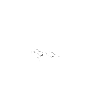 CCSc1cnc(CNc2nc3cnc(Cl)nc3n([C@H](C)CC)c2=O)nc1